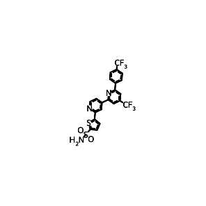 NS(=O)(=O)c1ccc(-c2cc(-c3cc(C(F)(F)F)cc(-c4ccc(C(F)(F)F)cc4)n3)ccn2)s1